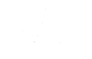 CCOC(=O)c1cccc(Nc2ccc3c(n2)N(C2CCN(C(=O)OC(C)(C)C)CC2)[C@H](C)C(=O)N3C)c1